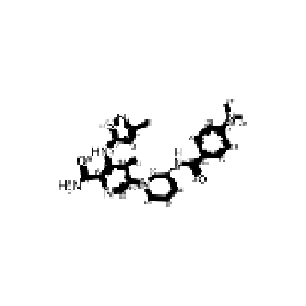 Cc1cc(Nc2c(C(N)=O)ncc(N3CCC[C@@H](NC(=O)c4ccc(N(C)C)cc4)C3)c2C)sn1